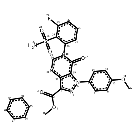 COC(=O)c1nn(-c2ccc(OC)cc2)c2c(=O)n(-c3cc[c]c(F)c3S(N)(=O)=O)cnc12.[c]1ccccc1